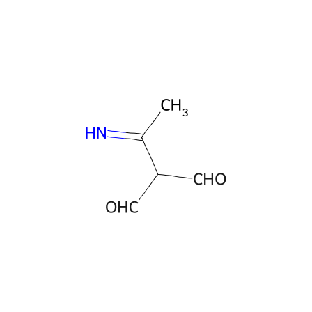 CC(=N)C(C=O)C=O